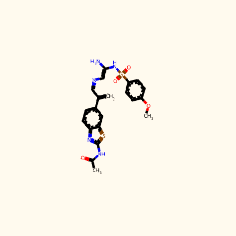 C=C(/C=N\C=C(/N)NS(=O)(=O)c1ccc(OC)cc1)c1ccc2nc(NC(C)=O)sc2c1